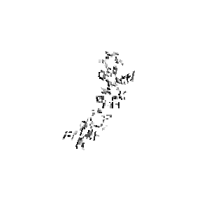 CC(C)S(=O)(=O)NC1CCC(C(=O)Nc2ccc(C(C#N)c3ccccc3)c(Cl)c2)CC1